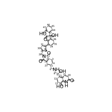 O=C1c2ccc(CNCC(O)c3ccc(O)c4[nH]c(=O)ccc34)cc2C(=O)N1Cc1ccc(-c2cccc(C(O)(C(=O)O)c3ccccc3)c2)s1